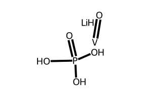 O=P(O)(O)O.[LiH].[O]=[V]